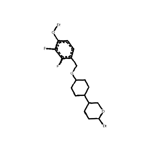 CCOc1ccc(COC2CCC(C3CCC(CC)OC3)CC2)c(F)c1F